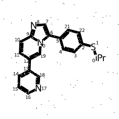 CC(C)Sc1ccc(-c2cnc3ccc(-c4cccnc4)cn23)cc1